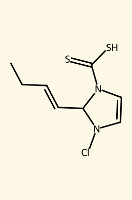 CCC=CC1N(Cl)C=CN1C(=S)S